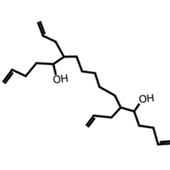 C=CCCC(O)C(CC=C)CCCCCC(CC=C)C(O)CCC=C